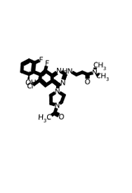 CC(=O)N1CCN(c2nc(NCCC(=O)N(C)C)nc3c(F)c(C4=C(F)C=CC[C@@H]4O)c(Cl)cc23)CC1